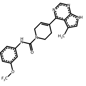 Cc1c[nH]c2ncnc(C3=CCN(C(=O)Nc4cccc(OC(F)(F)F)c4)CC3)c12